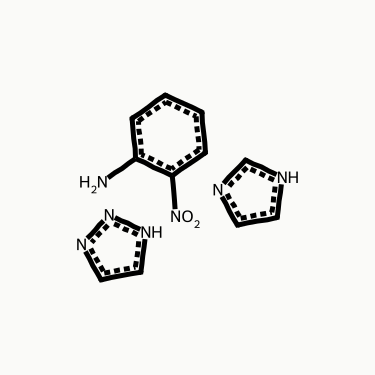 Nc1ccccc1[N+](=O)[O-].c1c[nH]cn1.c1c[nH]nn1